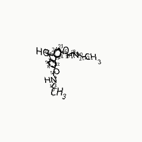 CCCNCCOc1ccc2c(c1)-c1cc(OCCNCCC)ccc1C2O